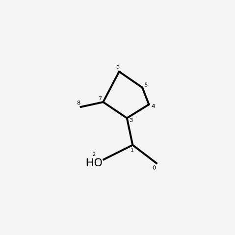 CC(O)C1CCCC1C